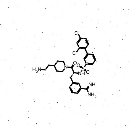 N=C(N)c1cccc(C[C@H](NS(=O)(=O)c2cccc(-c3ccc(Cl)cc3Cl)c2)C(=O)N2CCC(CCN)CC2)c1